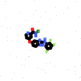 O=C(NCl)c1cc(Oc2ccc3[nH]c(Nc4cc(F)cc(F)c4F)nc3c2)ccn1